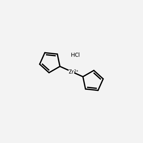 C1=C[CH]([Zr+2][CH]2C=CC=C2)C=C1.Cl